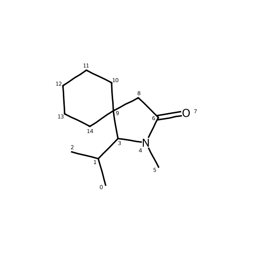 CC(C)C1N(C)C(=O)CC12CCCCC2